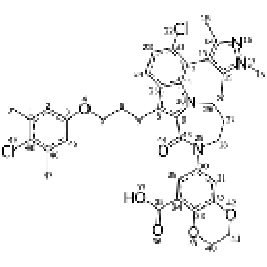 Cc1cc(OCCCc2c3n(c4c(-c5c(C)nn(C)c5C)c(Cl)ccc24)CCCN(c2cc4c(c(C(=O)O)c2)OCCO4)C3=O)cc(C)c1Cl